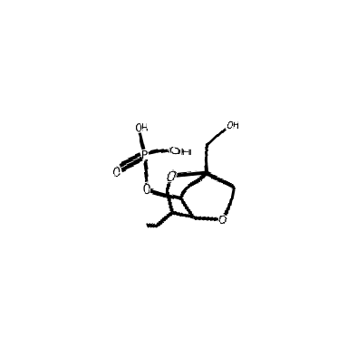 CC1OC2(CO)COC1C2OP(=O)(O)O